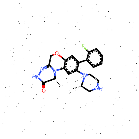 C[C@@H]1C(=O)NN=C2COc3cc(-c4ccccc4F)c(N4CCNC[C@@H]4C)cc3N21